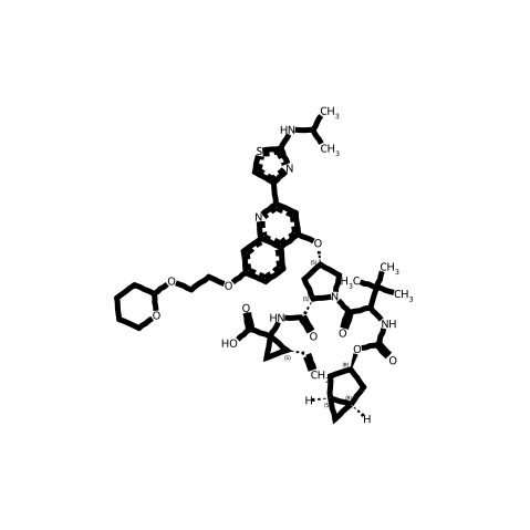 C=C[C@@H]1CC1(NC(=O)[C@@H]1C[C@H](Oc2cc(-c3csc(NC(C)C)n3)nc3cc(OCCOC4CCCCO4)ccc23)CN1C(=O)C(NC(=O)O[C@@H]1C[C@@H]2C[C@@H]2C1)C(C)(C)C)C(=O)O